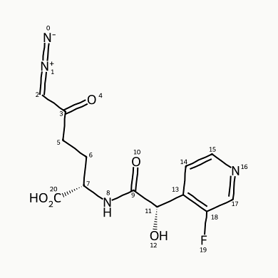 [N-]=[N+]=CC(=O)CC[C@H](NC(=O)[C@@H](O)c1ccncc1F)C(=O)O